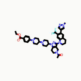 CCOC(=O)c1ccc(N2CCC(N3CCC(n4nc(N5CCCc6cc(-c7cnn(C)c7)c(C(F)F)cc65)c5c4CCN(C(C)=O)C5)CC3)CC2)cc1